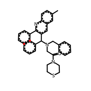 Cc1ccc2nc(-c3ccccc3)c(C(c3ccccc3)N(CC(=O)N3CCSCC3)Cc3ccccc3)cc2c1